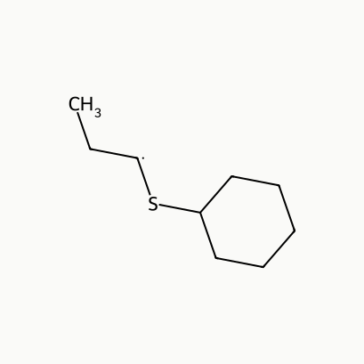 CC[CH]SC1CCCCC1